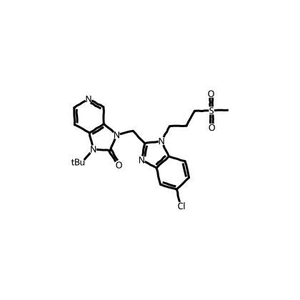 CC(C)(C)n1c(=O)n(Cc2nc3cc(Cl)ccc3n2CCCS(C)(=O)=O)c2cnccc21